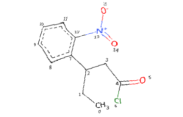 CCC(CC(=O)Cl)c1ccccc1[N+](=O)[O-]